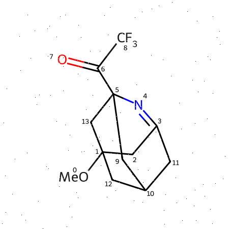 COC12CC3=NC(C(=O)C(F)(F)F)(CC(C3)C1)C2